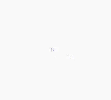 C=C(/C=C\C)CCNC(=C)CCN